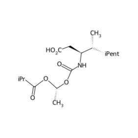 CCC[C@@H](C)[C@@H](C)[C@H](CC(=O)O)NC(=O)O[C@H](C)OC(=O)C(C)C